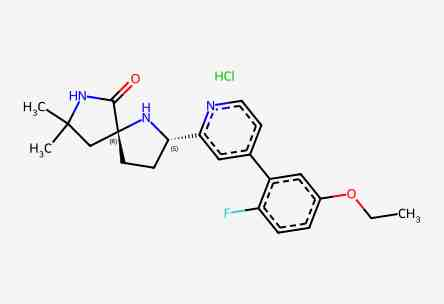 CCOc1ccc(F)c(-c2ccnc([C@@H]3CC[C@]4(CC(C)(C)NC4=O)N3)c2)c1.Cl